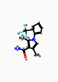 Cc1cn(-c2ccccc2C(F)(F)F)c(C)c1C(N)=O